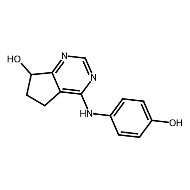 Oc1ccc(Nc2ncnc3c2CCC3O)cc1